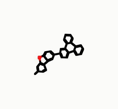 Cc1ccc2c(c1)oc1ccc(-c3ccc4c5ccccc5c5ccccc5c4c3)cc12